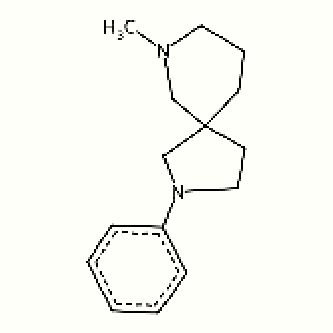 CN1CCCC2(CCN(c3ccccc3)C2)C1